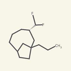 CCCC12CCC(CCC[C@H](C(F)F)C1)C2